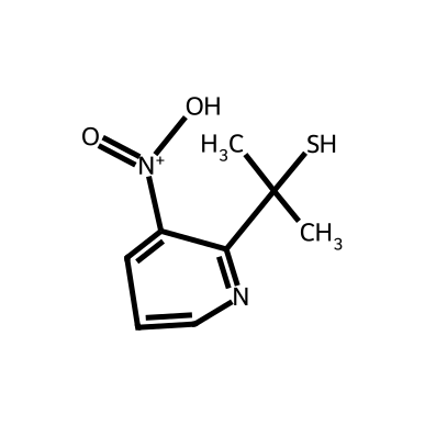 CC(C)(S)c1ncccc1[N+](=O)O